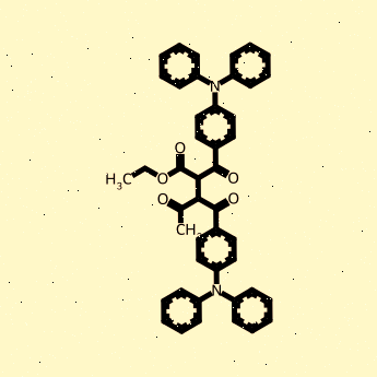 CCOC(=O)C(C(=O)c1ccc(N(c2ccccc2)c2ccccc2)cc1)C(C(C)=O)C(=O)c1ccc(N(c2ccccc2)c2ccccc2)cc1